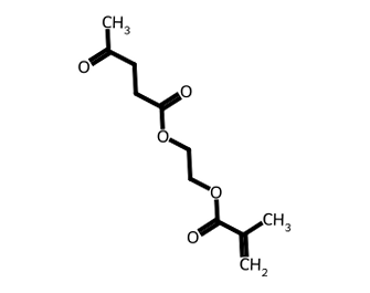 C=C(C)C(=O)OCCOC(=O)CCC(C)=O